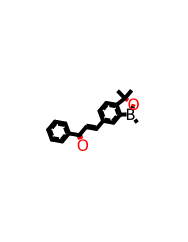 CB1OC(C)(C)c2ccc(/C=C/C(=O)c3ccccc3)cc21